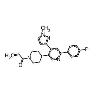 C=CC(=O)N1CCC(c2cnc(-c3ccc(F)cc3)cc2-c2ccn(C)n2)CC1